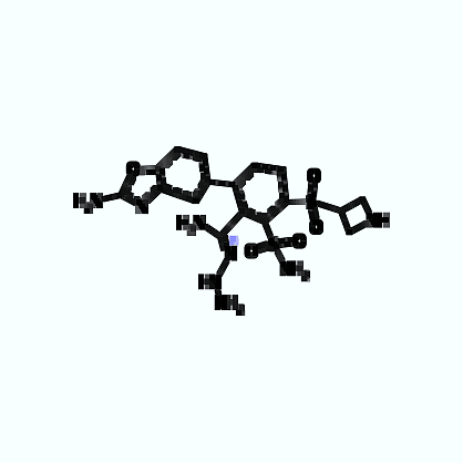 NN/N=C(\N)c1c(-c2ccc3oc(N)nc3c2)ccc(S(=O)(=O)C2CNC2)c1S(N)(=O)=O